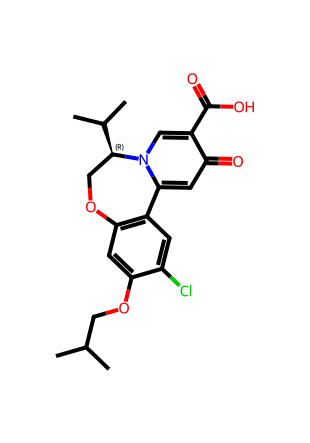 CC(C)COc1cc2c(cc1Cl)-c1cc(=O)c(C(=O)O)cn1[C@H](C(C)C)CO2